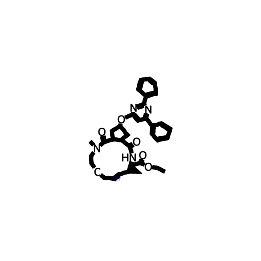 CCOC(=O)C12CC1/C=C/CCCCN(C)C(=O)C1CC(Oc3cc(-c4ccccc4)nc(-c4ccccc4)n3)CC1C(=O)N2